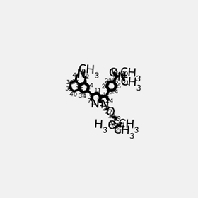 CN1Cc2cc(-c3cnc4c(c3)c(-c3ccc(C(=O)N(C)C)cc3)cn4COCC[Si](C)(C)C)cc3c2C(CCC3)C1